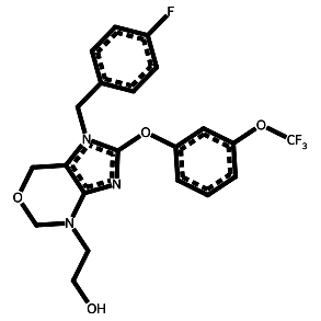 OCCN1COCc2c1nc(Oc1cccc(OC(F)(F)F)c1)n2Cc1ccc(F)cc1